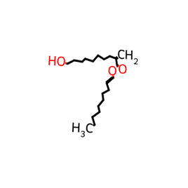 C=C(CCCCCCCCO)C(=O)OC=CCCCCCCCC